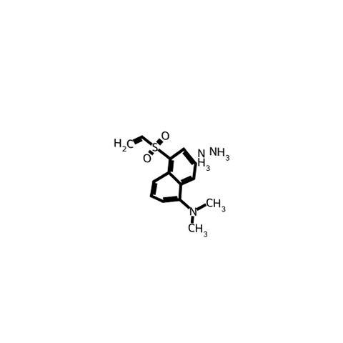 C=CS(=O)(=O)c1cccc2c(N(C)C)cccc12.N.N